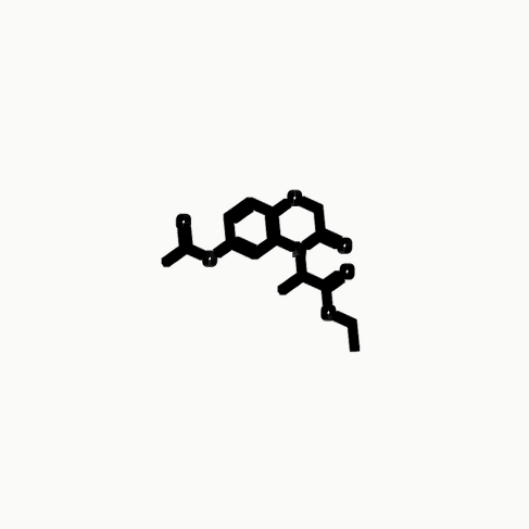 CCOC(=O)C(C)N1C(=O)COc2ccc(OC(C)=O)cc21